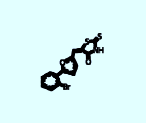 O=C1NC(=S)S/C1=C/c1ccc(-c2ccccc2Br)o1